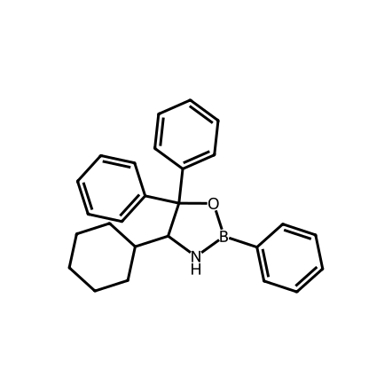 c1ccc(B2NC(C3CCCCC3)C(c3ccccc3)(c3ccccc3)O2)cc1